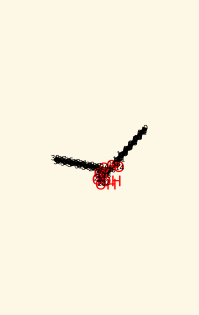 CCCCCCCCCCCCCC(=O)OCC(COP(=O)(O)O)OC(=O)CCCCCCCCCCCCC